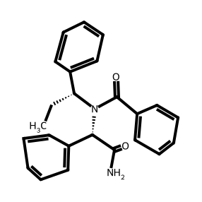 CC[C@H](c1ccccc1)N(C(=O)c1ccccc1)[C@H](C(N)=O)c1ccccc1